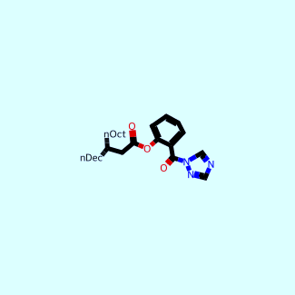 CCCCCCCCCCC(CCCCCCCC)CC(=O)Oc1ccccc1C(=O)n1cncn1